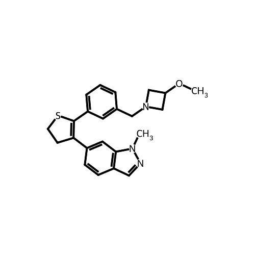 COC1CN(Cc2cccc(C3=C(c4ccc5cnn(C)c5c4)CCS3)c2)C1